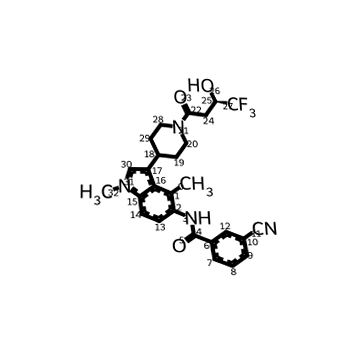 Cc1c(NC(=O)c2cccc(C#N)c2)ccc2c1c(C1CCN(C(=O)C[C@@H](O)C(F)(F)F)CC1)cn2C